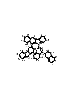 c1ccc2cc(-c3nc(-n4c5ccccc5c5cc6ccccc6c(-c6ccc7sc8ccccc8c7c6)c54)nc4ccccc34)ccc2c1